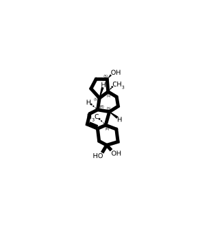 C[C@]12CC[C@H]3[C@@H](CC=C4CC(O)(O)CC[C@@]43C)[C@@H]1CC[C@@H]2O